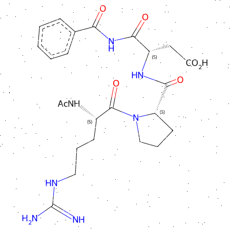 CC(=O)N[C@@H](CCCNC(=N)N)C(=O)N1CCC[C@H]1C(=O)N[C@@H](CC(=O)O)C(=O)NC(=O)c1ccccc1